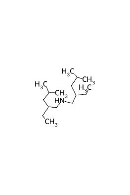 CCC(CNCC(CC)CC(C)C)CC(C)C